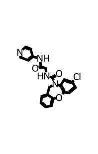 O=C(CNC(=O)N1Cc2ccccc2Oc2ccc(Cl)cc21)Nc1ccncc1